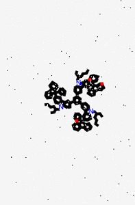 CCCCC(CC)Cn1c2ccc(-c3cc(-c4ccc5c(c4)c4cc(C6(c7ccccc7)c7ccccc7-c7ccccc76)ccc4n5CC(CC)CCCC)cc(-c4ccc5c(c4)c4cc(C6(c7ccccc7)c7ccccc7-c7ccccc76)ccc4n5CC(CC)CCCC)c3)cc2c2cc(C3(c4ccccc4)c4ccccc4-c4ccccc43)ccc21